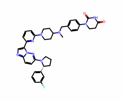 CN(Cc1ccc(N2CCC(=O)NC2=O)cc1)C1CCN(c2cccc(-c3cnc4ccc(N5CCC[C@@H]5c5cccc(F)c5)nn34)n2)CC1